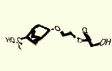 O=C(CO)OCCO[C@H]1CC2CC1CC2C(=O)O